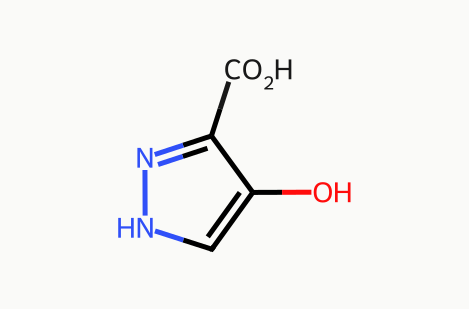 O=C(O)c1n[nH]cc1O